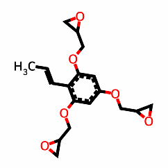 CC=Cc1c(OCC2CO2)cc(OCC2CO2)cc1OCC1CO1